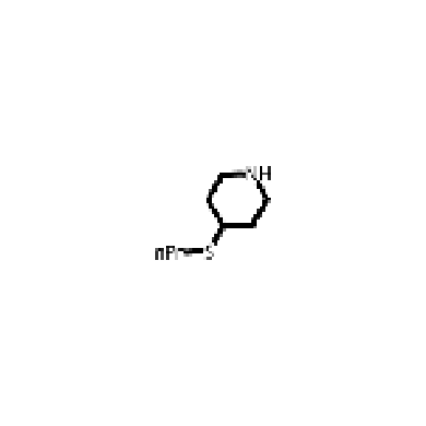 CCCSC1CCNCC1